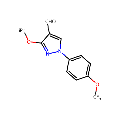 CC(C)Oc1nn(-c2ccc(OC(F)(F)F)cc2)cc1C=O